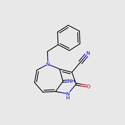 N#CC1=C2C(=N)C(=CC=CN2Cc2ccccc2)NC1=O